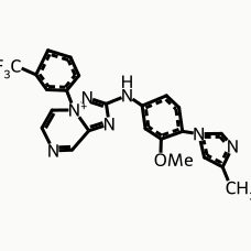 COc1cc(NC2=N[N+]3(c4cccc(C(F)(F)F)c4)C=CN=CC3=N2)ccc1-n1cnc(C)c1